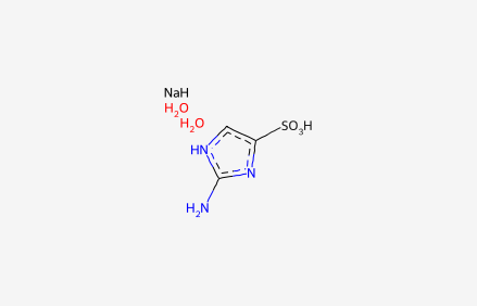 Nc1nc(S(=O)(=O)O)c[nH]1.O.O.[NaH]